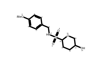 COc1ccc(CNS(=O)(=O)C2CCC(O)CO2)cc1